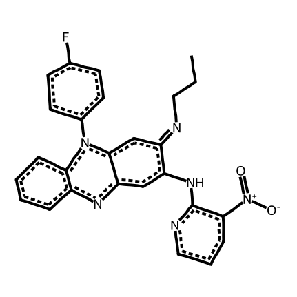 CCCN=c1cc2n(-c3ccc(F)cc3)c3ccccc3nc-2cc1Nc1ncccc1[N+](=O)[O-]